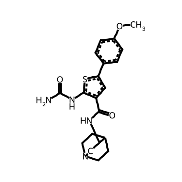 COc1ccc(-c2cc(C(=O)NC3CN4CCC3CC4)c(NC(N)=O)s2)cc1